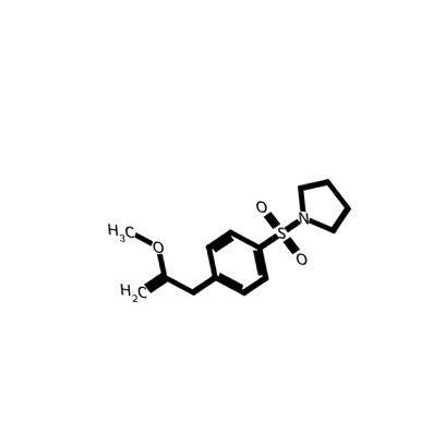 C=C(Cc1ccc(S(=O)(=O)N2CCCC2)cc1)OC